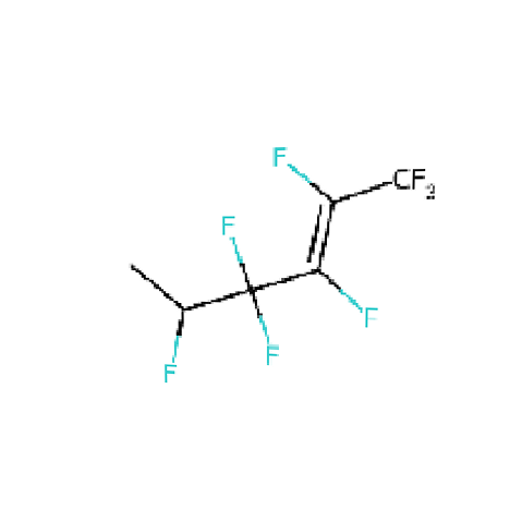 CC(F)C(F)(F)/C(F)=C(\F)C(F)(F)F